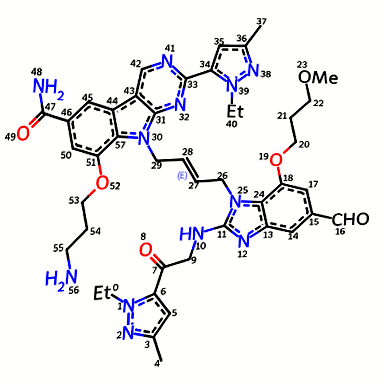 CCn1nc(C)cc1C(=O)CNc1nc2cc(C=O)cc(OCCCOC)c2n1C/C=C/Cn1c2nc(-c3cc(C)nn3CC)ncc2c2cc(C(N)=O)cc(OCCCN)c21